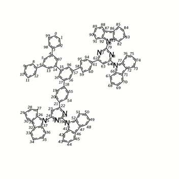 c1ccc(-c2cc(-c3ccccc3)cc(-c3cc(-c4ccc(-c5cc(-n6c7ccccc7c7ccccc76)nc(-n6c7ccccc7c7ccccc76)n5)cc4)cc(-c4ccc(-c5cc(-n6c7ccccc7c7ccccc76)nc(-n6c7ccccc7c7ccccc76)n5)cc4)c3)c2)cc1